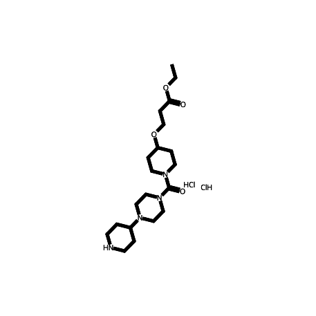 CCOC(=O)CCOC1CCN(C(=O)N2CCN(C3CCNCC3)CC2)CC1.Cl.Cl